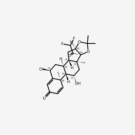 CC1(C)O[C@@H]2C[C@H]3[C@@H]4C[C@H](Cl)C5=CC(=O)C=C[C@]5(C)[C@H]4[C@@H](O)C[C@]3(C)[C@]2(C(=O)C(F)F)O1